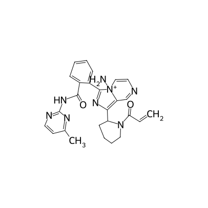 C=CC(=O)N1CCCCC1C1=C2C=NC=C[N+]2(N)C(c2ccccc2C(=O)Nc2nccc(C)n2)=N1